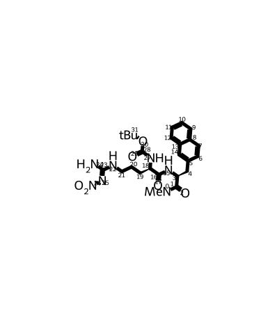 CNC(=O)[C@H](Cc1ccc2ccccc2c1)NC(=O)[C@@H](CCCNC(N)=N[N+](=O)[O-])NC(=O)OC(C)(C)C